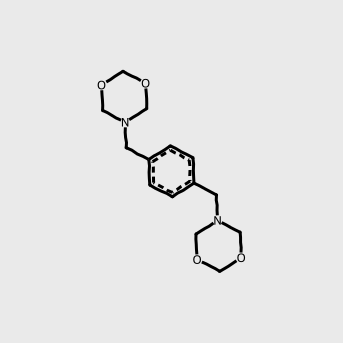 c1cc(CN2COCOC2)ccc1CN1COCOC1